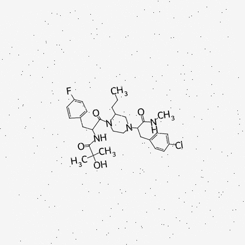 CCCC1CN(C(Cc2ccc(Cl)cc2)C(=O)NC)CCN1C(=O)C(Cc1ccc(F)cc1)NC(=O)C(C)(C)O